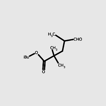 CCC(C)OC(=O)C(C)(C)CC(C)C=O